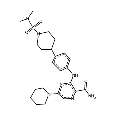 CN(C)S(=O)(=O)N1CCC(c2ccc(Nc3nc(N4CCCCC4)cnc3C(N)=O)cc2)CC1